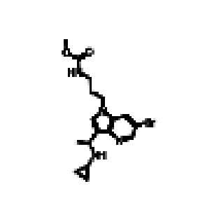 COC(=O)NCCCn1cc(C(C)NC2CC2)c2ncc(Br)cc21